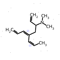 C=C/C=C(\C=C/C)CC(C=C)N(C)C